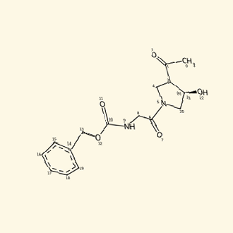 CC(=O)C1CN(C(=O)CNC(=O)OCc2ccccc2)C[C@@H]1O